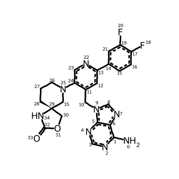 Nc1ncnc2c1ncn2Cc1cc(-c2ccc(F)c(F)c2)ncc1N1CCC[C@]2(COC(=O)N2)C1